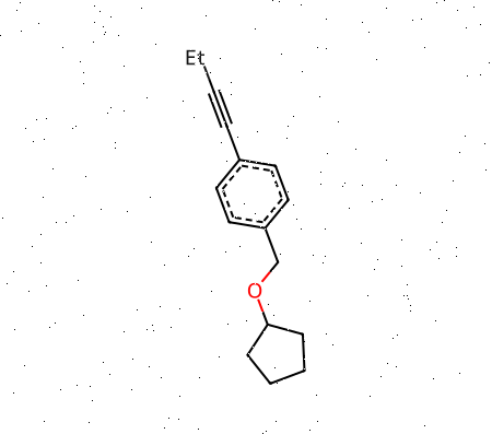 CCC#Cc1ccc(COC2CCCC2)cc1